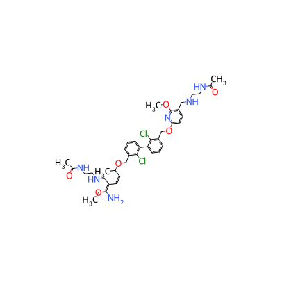 CO/C(N)=C(/C=C\C(C)OCc1cccc(-c2cccc(COc3ccc(CNCCNC(C)=O)c(OC)n3)c2Cl)c1Cl)CNCCNC(C)=O